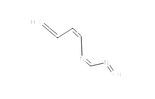 C=C/C=C\N=C/N=C